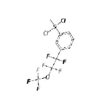 C[Si](Cl)(Cl)c1cccc(C(F)(F)C(F)(F)OC(F)(F)F)c1